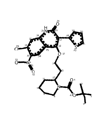 CC(C)(C)OC(=O)N1CCCCC1CCOc1c(-c2cccs2)c(=O)[nH]c2cc(Cl)c([N+](=O)[O-])cc12